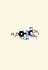 Cc1ccc(-c2nc(C(C)Cl)c(C(C)(C)C)[nH]2)cc1.Cl